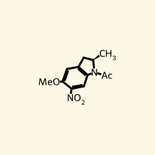 COc1cc2c(cc1[N+](=O)[O-])N(C(C)=O)[C@H](C)C2